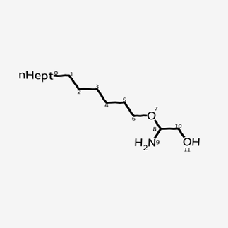 CCCCCCCCCCCCCOC(N)CO